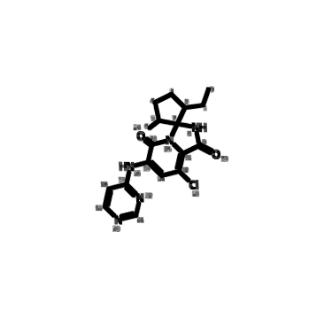 CCC1CCC(C)C12NC(=O)c1c(Cl)cc(Nc3ccncn3)c(=O)n12